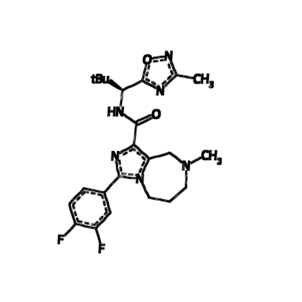 Cc1noc([C@@H](NC(=O)c2nc(-c3ccc(F)c(F)c3)n3c2CN(C)CCC3)C(C)(C)C)n1